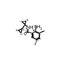 Cc1cc(I)cc(C(=O)NC2(C3CC3)CC2)c1N